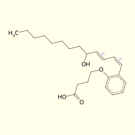 CCCCCCCCC(O)/C=C/C=C\c1ccccc1OCCCC(=O)O